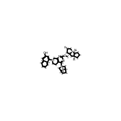 Oc1cc(N2CCc3c(nc(OC[C@]45C[C@H](F)CN4[C@H]4CCC[C@H]4C5)nc3N3CC4CCC(C3)N4)C2)c2ccccc2c1